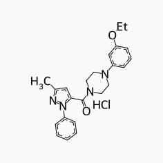 CCOc1cccc(N2CCN(C(=O)c3cc(C)nn3-c3ccccc3)CC2)c1.Cl